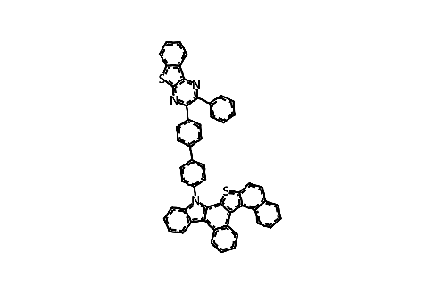 c1ccc(-c2nc3c(nc2-c2ccc(-c4ccc(-n5c6ccccc6c6c7ccccc7c7c(sc8ccc9ccccc9c87)c65)cc4)cc2)sc2ccccc23)cc1